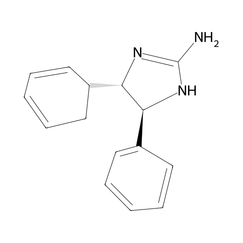 NC1=N[C@@H](C2C=CC=CC2)[C@H](c2ccccc2)N1